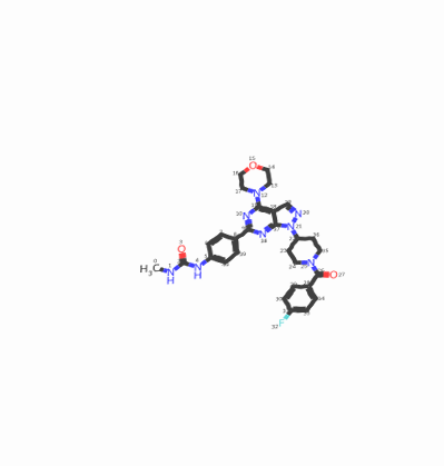 CNC(=O)Nc1ccc(-c2nc(N3CCOCC3)c3cnn(C4CCN(C(=O)c5ccc(F)cc5)CC4)c3n2)cc1